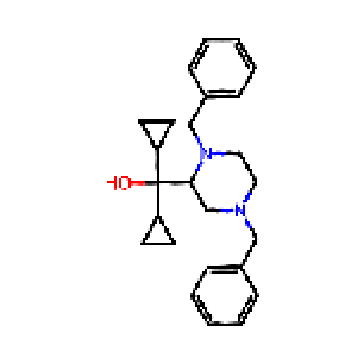 OC(C1CC1)(C1CC1)C1CN(Cc2ccccc2)CCN1Cc1ccccc1